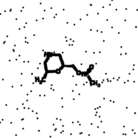 C[C@H]1CNC[C@@H](CO[PH](C)=O)O1